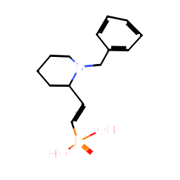 O=P(O)(O)/C=C/C1CCCCN1Cc1ccccc1